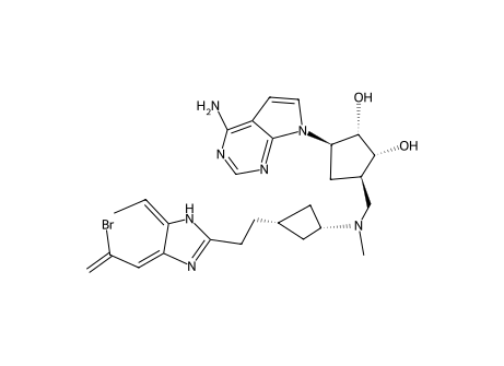 C=C(Br)/C=c1/nc(CC[C@H]2C[C@@H](N(C)C[C@H]3C[C@@H](n4ccc5c(N)ncnc54)[C@H](O)[C@@H]3O)C2)[nH]/c1=C/C